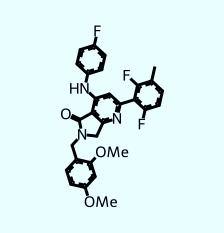 COc1ccc(CN2Cc3nc(-c4c(F)ccc(C)c4F)cc(Nc4ccc(F)cc4)c3C2=O)c(OC)c1